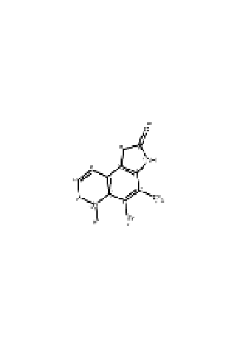 CC(C)c1c2c(c3c(c1C(F)(F)F)NC(=O)C3)C=CCN2C